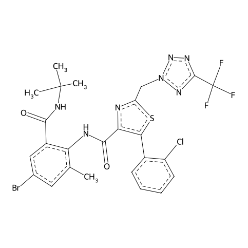 Cc1cc(Br)cc(C(=O)NC(C)(C)C)c1NC(=O)c1nc(Cn2nnc(C(F)(F)F)n2)sc1-c1ccccc1Cl